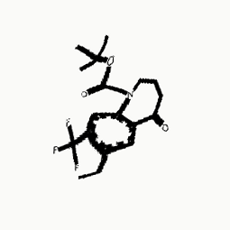 CCc1cc2c(cc1C(F)(F)F)N(C(=O)OC(C)(C)C)CCCC2=O